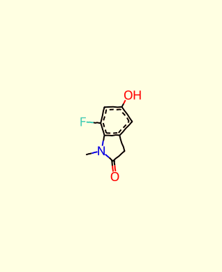 CN1C(=O)Cc2cc(O)cc(F)c21